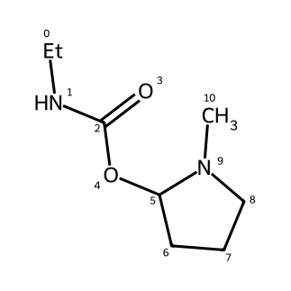 CCNC(=O)OC1CCCN1C